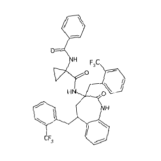 O=C(NC1(C(=O)NC2(Cc3ccccc3C(F)(F)F)CC(Cc3ccccc3C(F)(F)F)c3ccccc3NC2=O)CC1)c1ccccc1